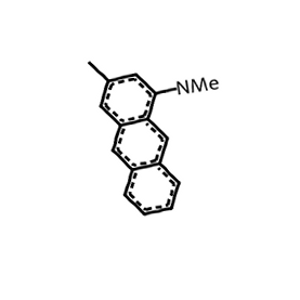 CNc1cc(C)cc2cc3ccccc3cc12